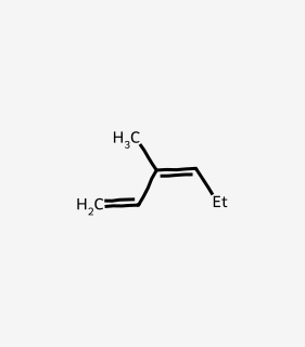 C=C/C(C)=C\CC